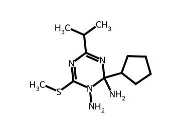 CSC1=NC(C(C)C)=NC(N)(C2CCCC2)N1N